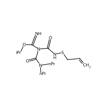 C=CCSNC(=O)N(C(=N)OC(C)C)C(=O)N(CCC)CCC